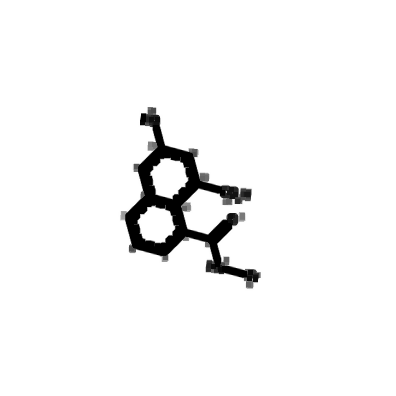 CC(C)NC(=O)c1cccc2cc(O)cc(C(=O)O)c12